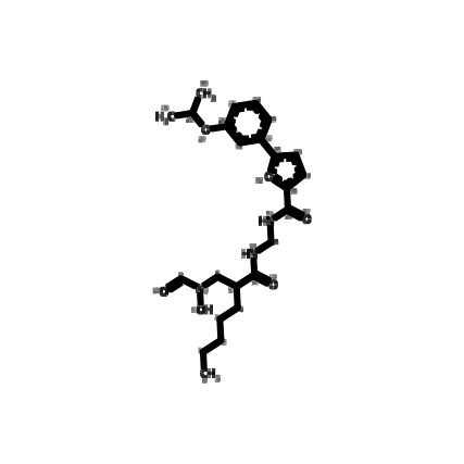 CCCCCC(CN(O)C=O)C(=O)NCNC(=O)c1ccc(-c2cccc(OC(C)C)c2)o1